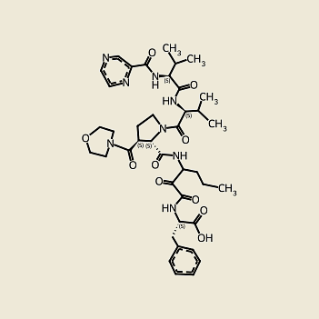 CCCC(NC(=O)[C@@H]1[C@@H](C(=O)N2CCOCC2)CCN1C(=O)[C@@H](NC(=O)[C@@H](NC(=O)c1cnccn1)C(C)C)C(C)C)C(=O)C(=O)N[C@@H](Cc1ccccc1)C(=O)O